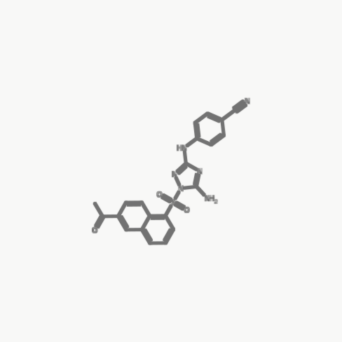 CC(=O)c1ccc2c(S(=O)(=O)n3nc(Nc4ccc(C#N)cc4)nc3N)cccc2c1